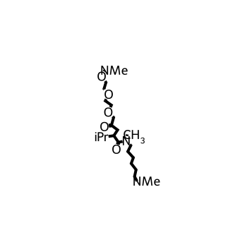 CNCCCCCCN(C)C(=O)C(CC(=O)COCCOCCONC)C(C)C